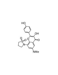 CNc1cc(N2CCCS2(=O)=O)c2oc(-c3ccc(O)cc3)c(O)c(=O)c2c1